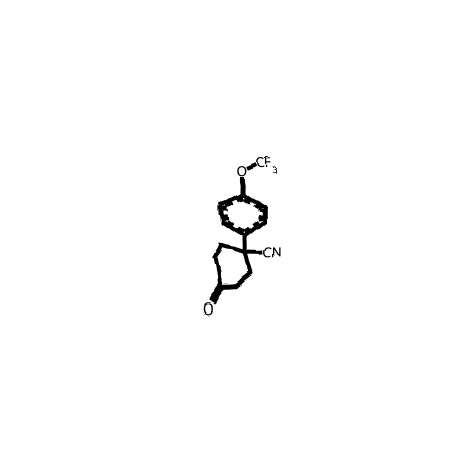 N#CC1(c2ccc(OC(F)(F)F)cc2)CCC(=O)CC1